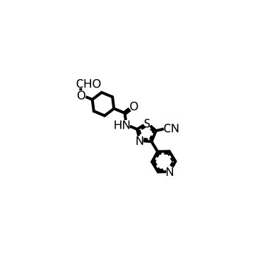 N#Cc1sc(NC(=O)C2CCC(OC=O)CC2)nc1-c1ccncc1